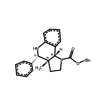 CC(C)(C)OC(=O)N1CC[C@@]2(C)[C@@H]1c1ccccc1N[C@H]2c1ccccc1